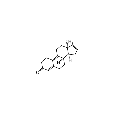 C[C@@]12C=CC[C@H]1[C@@H]1CCC3=CC(=O)CCC3=C1CC2